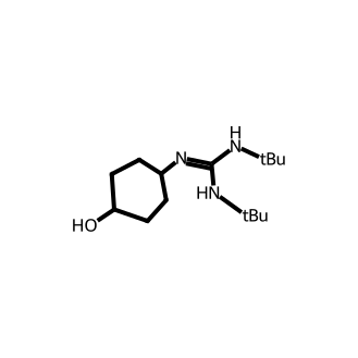 CC(C)(C)NC(=NC1CCC(O)CC1)NC(C)(C)C